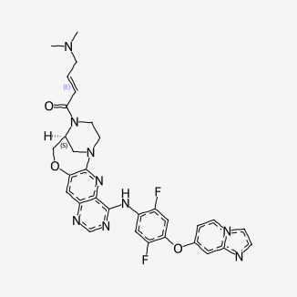 CN(C)C/C=C/C(=O)N1CCN2C[C@H]1COc1cc3ncnc(Nc4cc(F)c(Oc5ccn6ccnc6c5)cc4F)c3nc12